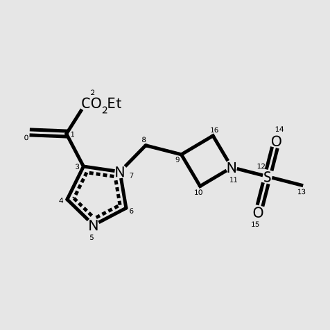 C=C(C(=O)OCC)c1cncn1CC1CN(S(C)(=O)=O)C1